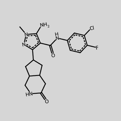 Cn1nc(C2CC3CNC(=O)CC3C2)c(C(=O)Nc2ccc(F)c(Cl)c2)c1N